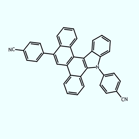 N#Cc1ccc(-c2cc3c4ccccc4c4c(c5ccccc5n4-c4ccc(C#N)cc4)c3c3ccccc23)cc1